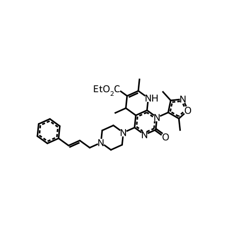 CCOC(=O)C1=C(C)Nc2c(c(N3CCN(C/C=C/c4ccccc4)CC3)nc(=O)n2-c2c(C)noc2C)C1C